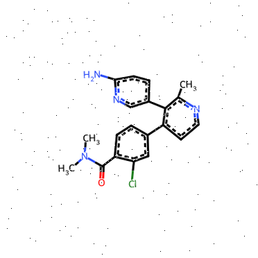 Cc1nccc(-c2ccc(C(=O)N(C)C)c(Cl)c2)c1-c1ccc(N)nc1